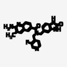 Cc1cc2cc(C(=O)N(Cc3ccc4[nH]c(=O)[nH]c4c3)Cc3ccncc3F)ccc2nc1N